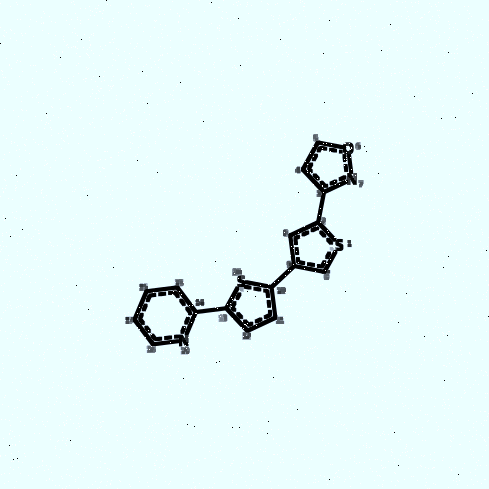 [c]1sc(-c2ccon2)cc1-c1ccc(-c2ccccn2)s1